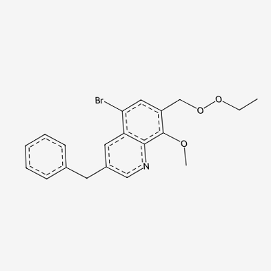 CCOOCc1cc(Br)c2cc(Cc3ccccc3)cnc2c1OC